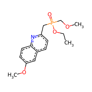 CCOP(=O)(COC)Cc1ccc2cc(OC)ccc2n1